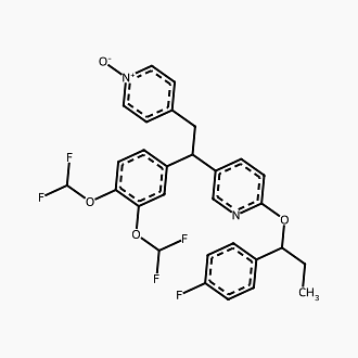 CCC(Oc1ccc(C(Cc2cc[n+]([O-])cc2)c2ccc(OC(F)F)c(OC(F)F)c2)cn1)c1ccc(F)cc1